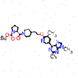 Cc1cc(-c2nc(C#N)nc3c2ncn3C)cnc1OCCC1CCN(C(=O)[C@@H]2CCCN2C(=O)OC(C)(C)C)CC1